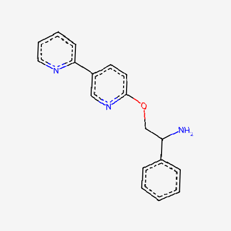 NC(COc1ccc(-c2ccccn2)cn1)c1ccccc1